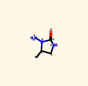 CC1CNC(=O)N1N